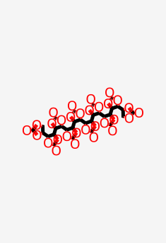 O=C1OCC(C2OC(=O)OC2C2OC(=O)OC2C2OC(=O)OC2C2OC(=O)OC2C2OC(=O)OC2C2OC(=O)OC2C2OC(=O)OC2C2OC(=O)OC2C2COC(=O)O2)O1